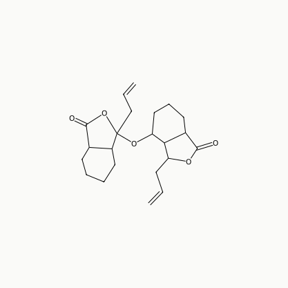 C=CCC1OC(=O)C2CCCC(OC3(CC=C)OC(=O)C4CCCCC43)C12